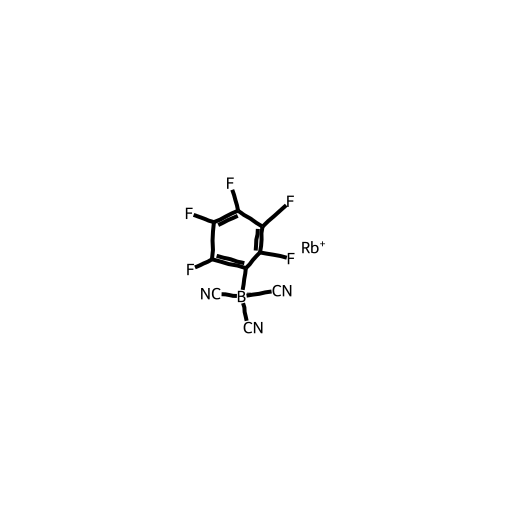 N#C[B-](C#N)(C#N)c1c(F)c(F)c(F)c(F)c1F.[Rb+]